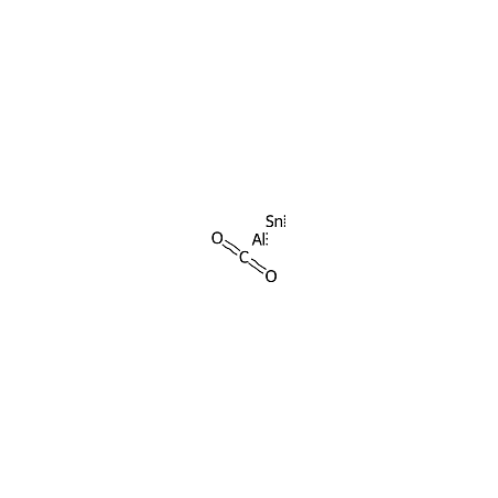 O=C=O.[Al].[Sn]